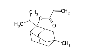 C=CC(=O)OC1(C(C)C)C2CC3CC1CC(C)(C3)C2